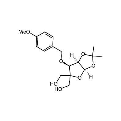 COc1ccc(CO[C@H]2[C@H]3OC(C)(C)O[C@H]3OC2(CO)CO)cc1